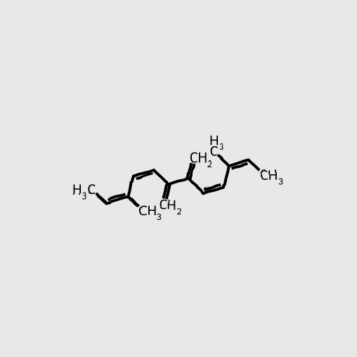 C=C(/C=C\C(C)=C/C)C(=C)/C=C\C(C)=C/C